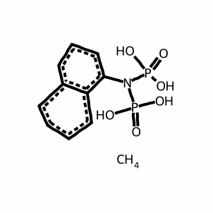 C.O=P(O)(O)N(c1cccc2ccccc12)P(=O)(O)O